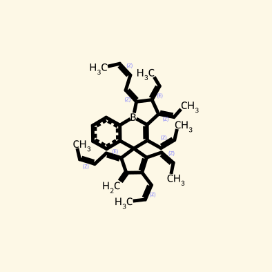 C=C1C(/C=C\C)=C(/C=C\C)C2(C(/C=C\C)=C3B(C(=C/C=C\C)/C(=C\C)/C3=C\C)c3ccccc32)/C1=C/C=C\C